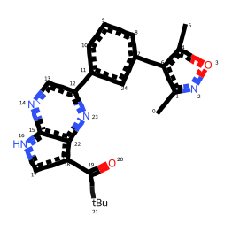 Cc1noc(C)c1-c1cccc(-c2cnc3[nH]cc(C(=O)C(C)(C)C)c3n2)c1